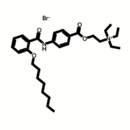 CCCCCCCCOc1ccccc1C(=O)Nc1ccc(C(=O)OCC[N+](CC)(CC)CC)cc1.[Br-]